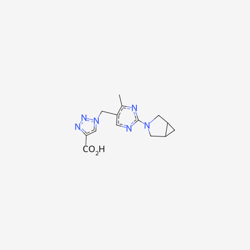 Cc1nc(N2CC3CC3C2)ncc1Cn1cc(C(=O)O)nn1